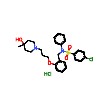 CC1(O)CCN(CCCOc2ccccc2CN(c2ccccc2)S(=O)(=O)c2ccc(Cl)cc2)CC1.Cl